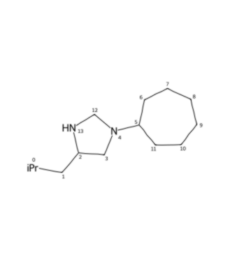 CC(C)CC1CN(C2CCCCCC2)CN1